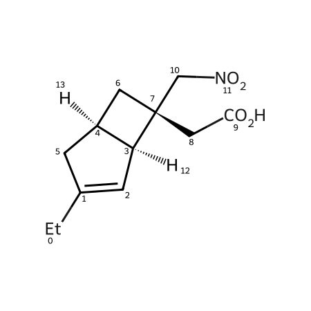 CCC1=C[C@H]2[C@@H](C1)C[C@]2(CC(=O)O)C[N+](=O)[O-]